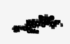 COc1cc2c(Oc3ccc(NC(=O)C4=NN(c5cccc(C(F)(F)F)c5)C(=C=O)N(C)C4=C=O)cc3F)ccnc2cc1OCCCN1CCCC1